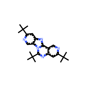 CC(C)(C)c1cc2nc(C(C)(C)C)n3c4cnc(C(C)(C)C)cc4nc3c2cn1